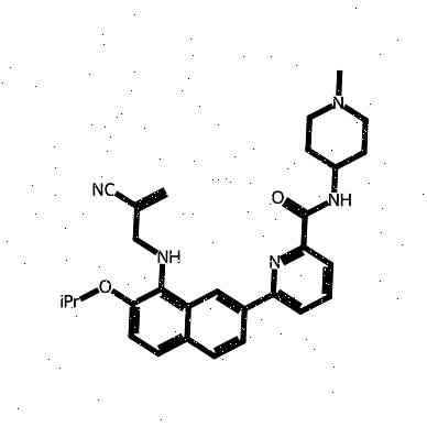 C=C(C#N)CNc1c(OC(C)C)ccc2ccc(-c3cccc(C(=O)NC4CCN(C)CC4)n3)cc12